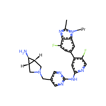 Cc1nc2c(F)cc(-c3cc(Nc4ncc(CN5C[C@@H]6[C@@H](N)[C@@H]6C5)cn4)ncc3F)cc2n1C(C)C